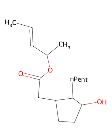 CC=CC(C)OC(=O)CC1CCC(O)C1CCCCC